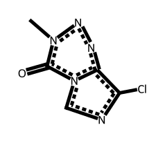 Cn1nnc2c(Cl)ncn2c1=O